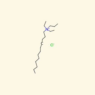 CCCCCCCCCCCC[N+](CC)(CC)CCC.[Cl-]